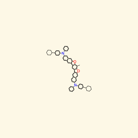 Cc1c2oc3cc4cc(N(c5ccccc5)c5ccc(C6CCCCC6)cc5)ccc4cc3c2cc2c1oc1cc3cc(N(c4ccccc4)c4ccc(C5CCCCC5)cc4)ccc3cc12